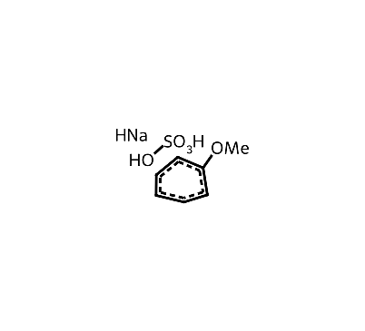 COc1ccccc1.O=S(=O)(O)O.[NaH]